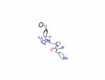 N#CC(=CC1CCNCC1)C(=O)N1CCCC1Cn1nc(-c2ccc(Oc3ccccc3)cc2F)c2c(N)ncnc21